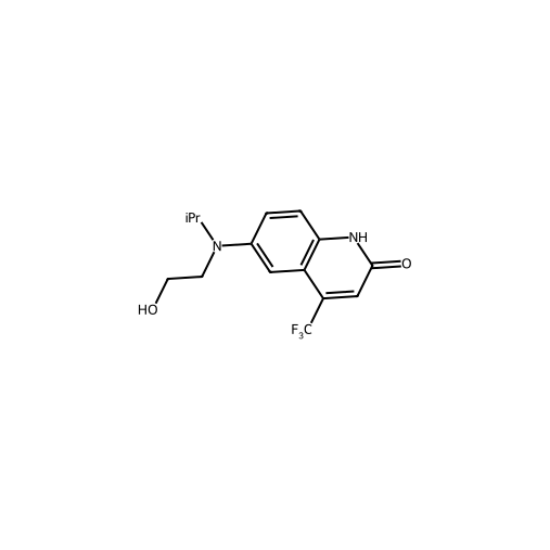 CC(C)N(CCO)c1ccc2[nH]c(=O)cc(C(F)(F)F)c2c1